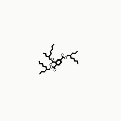 CCCCCC(CCC)COC(=O)c1ccc(C(=O)OCC(CCC)CCCCC)c(C(=O)OCC(CCC)CCCCC)c1